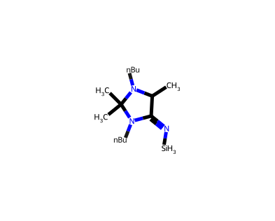 CCCCN1C(=N[SiH3])C(C)N(CCCC)C1(C)C